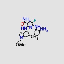 COCCn1ccc2c(Nc3nc(N[C@@H]4CCCC[C@@H]4N)c(F)cc3C(N)=O)cc(C)cc21